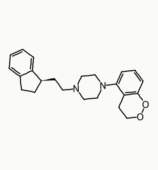 c1ccc2c(c1)CC[C@@H]2CCN1CCN(c2cccc3c2CCOO3)CC1